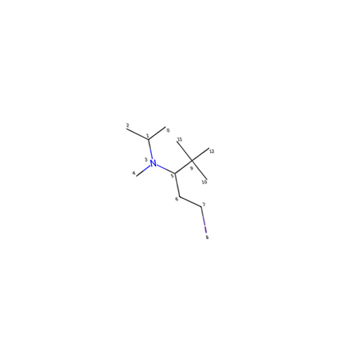 CC(C)N(C)C(CCI)C(C)(C)C